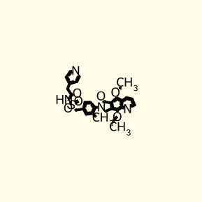 CCOc1c2c(c(OCC)c3ncccc13)CN(c1ccc(CS(=O)(=O)NC(=O)Cc3ccncc3)cc1C)C2=O